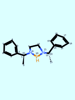 C[C@@H](c1ccccc1)N1CCN([C@@H](C)c2ccccc2)P1